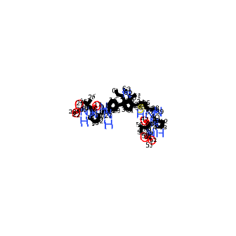 CCC1c2c(-c3ccc4nc([C@@H]5CCCN5C(=O)[C@@H](NC(=O)OC)C(C)C)[nH]c4c3)ccc(-c3ccc(-c4cnc([C@@H]5CCCN5C(=O)[C@@H](NC(=O)OC)C(C)C)[nH]4)s3)c2C(C)N1C